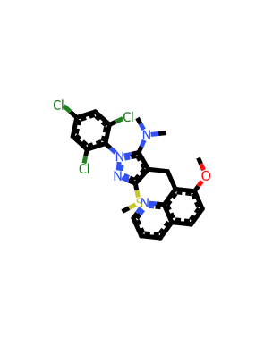 COc1ccc2cccnc2c1Cc1c(SC)nn(-c2c(Cl)cc(Cl)cc2Cl)c1N(C)C